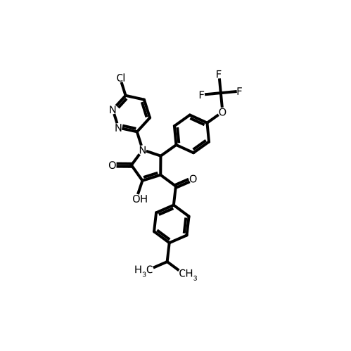 CC(C)c1ccc(C(=O)C2=C(O)C(=O)N(c3ccc(Cl)nn3)C2c2ccc(OC(F)(F)F)cc2)cc1